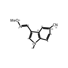 CON=Cc1cn(C)c2ccc(C#N)cc12